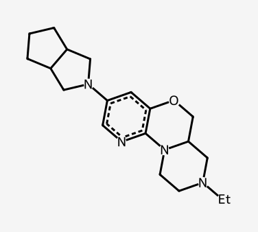 CCN1CCN2c3ncc(N4CC5CCCC5C4)cc3OCC2C1